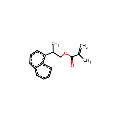 C=C(C)C(=O)OCC(C)c1cccc2ccccc12